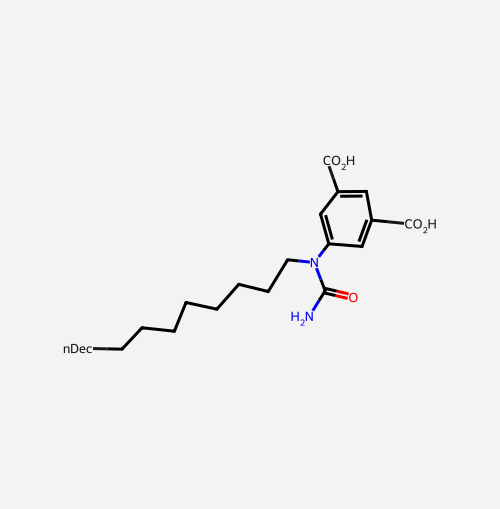 CCCCCCCCCCCCCCCCCCN(C(N)=O)c1cc(C(=O)O)cc(C(=O)O)c1